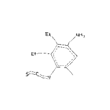 CCc1c(N)cc(C)c(N=C=S)c1CC